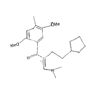 COc1cc(C(=O)/C(=C/N(C)C)CCC2CCCC2)c(OC)cc1C